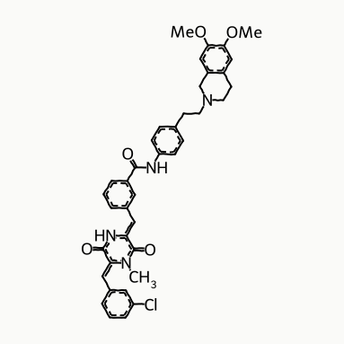 COc1cc2c(cc1OC)CN(CCc1ccc(NC(=O)c3cccc(C=c4[nH]c(=O)c(=Cc5cccc(Cl)c5)n(C)c4=O)c3)cc1)CC2